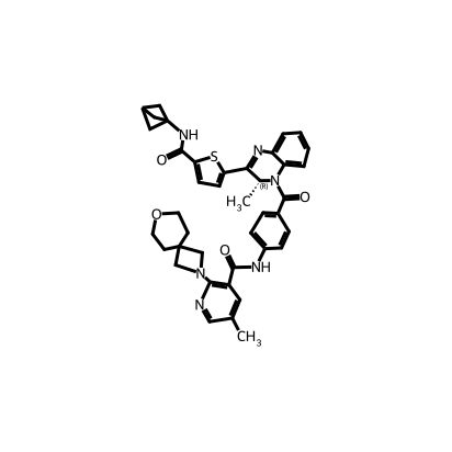 Cc1cnc(N2CC3(CCOCC3)C2)c(C(=O)Nc2ccc(C(=O)N3c4ccccc4N=C(c4ccc(C(=O)NC56CC(C5)C6)s4)[C@H]3C)cc2)c1